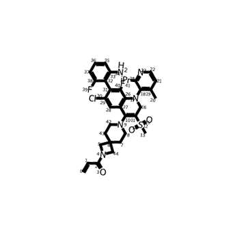 C=CC(=O)N1CC2(CCN(C3=C(S(C)(=O)=O)CN(c4c(C)ccnc4C(C)C)c4c3cc(Cl)c(-c3c(N)cccc3F)c4F)CC2)C1